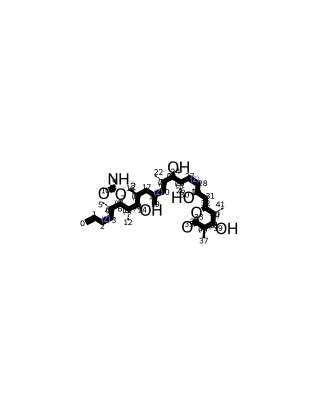 C=C/C=C\[C@H](C)[C@H](OC(N)=O)[C@@H](C)[C@H](O)[C@@H](C)C/C(C)=C\[C@H](C)[C@@H](O)[C@@H](C)/C=C\[C@@H](O)CC1OC(=O)[C@H](C)[C@@H](O)[C@H]1C